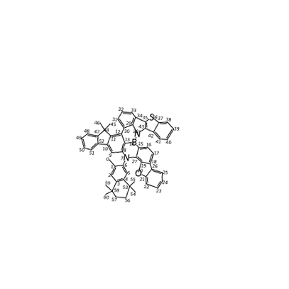 Cc1cc2c(cc1N1c3cc4c(c5c3B(c3ccc6c(oc7ccccc76)c31)n1c3c-5cccc3c3sc5ccccc5c31)C(C)(C)c1ccccc1-4)C(C)(C)CCC2(C)C